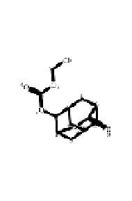 O=C(OCCl)OC1C2CC3CC(C2)C(=O)OC1C3